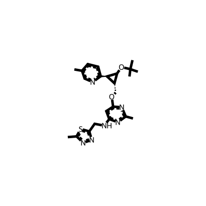 Cc1ccc([C@H]2C(OC(C)(C)C)[C@@H]2COc2cc(NCc3nnc(C)s3)nc(C)n2)nc1